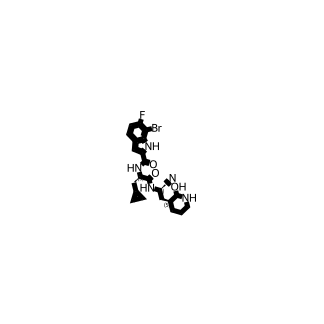 N#C[C@H](C[C@@H]1CCCNC1O)NC(=O)[C@H](CC1CC1)NC(=O)c1cc2ccc(F)c(Br)c2[nH]1